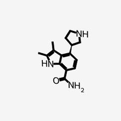 Cc1[nH]c2c(C(N)=O)ccc([C@H]3CCNC3)c2c1C